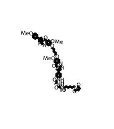 COc1ccc(C2=CN3C(=O)c4cc(OC)c(OCCCCCOc5cc6c(cc5OC)C(=O)N5C=C(c7ccc(NC(=O)[C@H](C)NC(=O)[C@@H](NC(=O)CCCCCN8C(=O)C=CC8=O)C(C)C)cc7)C[C@H]5C=N6)cc4N=C[C@@H]3C2)cc1